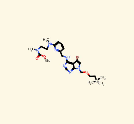 CN(CCN(C)c1cccc(CNc2ncnc3c2c(Br)cn3COCC[Si](C)(C)C)n1)C(=O)OC(C)(C)C